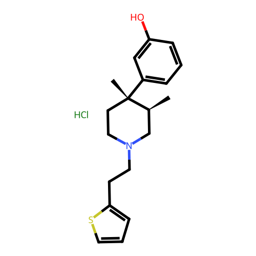 C[C@H]1CN(CCc2cccs2)CC[C@]1(C)c1cccc(O)c1.Cl